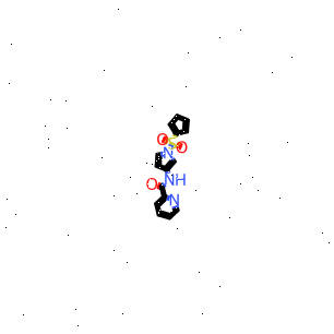 O=C(Nc1ccn(S(=O)(=O)C2=CCC=C2)c1)c1ccccn1